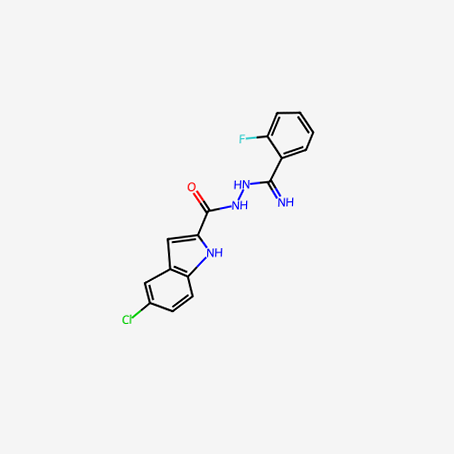 N=C(NNC(=O)c1cc2cc(Cl)ccc2[nH]1)c1ccccc1F